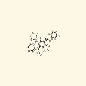 O=C(N[C@H](C(=O)N1CCC[C@H]1C(=O)O)C(C1CCCCC1)C1CCCCC1)OCc1ccccc1